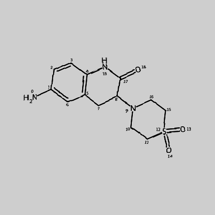 Nc1ccc2c(c1)CC(N1CCS(=O)(=O)CC1)C(=O)N2